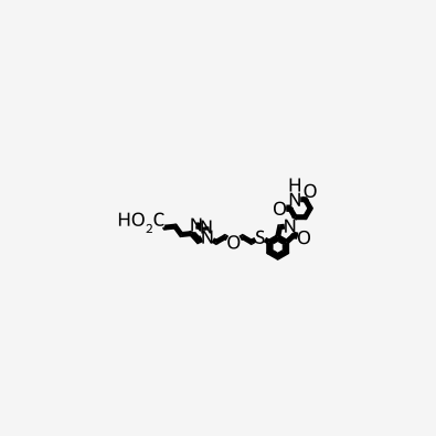 O=C(O)CCCc1cn(CCOCCSc2cccc3c2CN(C2CCC(=O)NC2=O)C3=O)nn1